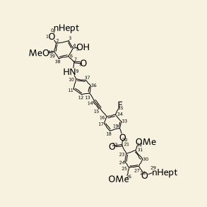 CCCCCCCOc1cc(O)c(C(=O)Nc2ccc(C#Cc3ccc(OC(=O)c4cc(OC)c(OCCCCCCC)cc4OC)cc3F)cc2)cc1OC